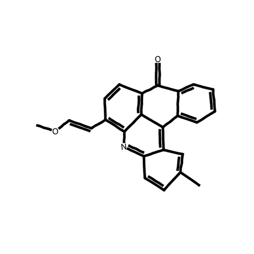 CO/C=C/c1ccc2c3c(c4cc(C)ccc4nc13)-c1ccccc1C2=O